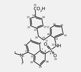 CN(C)c1cccc2c(S(=O)(=O)Nc3ccccc3CCc3ccc(C(=O)O)cc3)cccc12